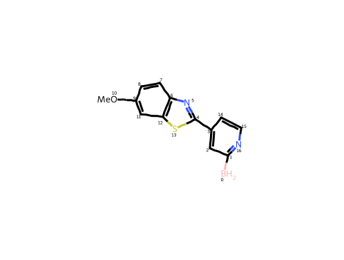 Bc1cc(-c2nc3ccc(OC)cc3s2)ccn1